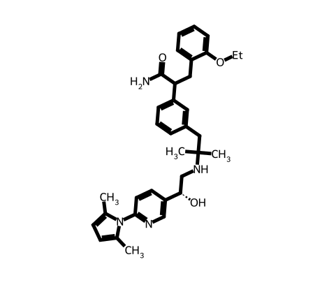 CCOc1ccccc1CC(C(N)=O)c1cccc(CC(C)(C)NC[C@H](O)c2ccc(-n3c(C)ccc3C)nc2)c1